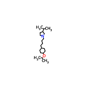 CC(C)OC1CCC(CCCCN2CCC(C(C)C)C2)CC1